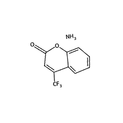 N.O=c1cc(C(F)(F)F)c2ccccc2o1